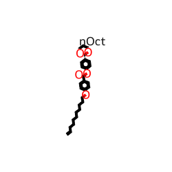 C=CCCCCCCCCCOc1ccc(C(=O)Oc2ccc([C@H]3OC[C@H](CCCCCCCC)CO3)cc2)cc1